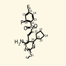 CSc1nc(N)c(C=CS(=O)(=O)c2ccc(F)cc2F)c(C2CCCC2)n1